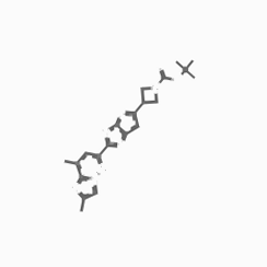 Cc1cn2nc(-c3nc4sc(C5CN(C(=O)OC(C)(C)C)C5)cc4s3)cc(C)c2n1